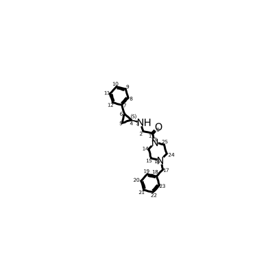 O=C(CN[C@H]1CC1c1ccccc1)N1CCN(Cc2ccccc2)CC1